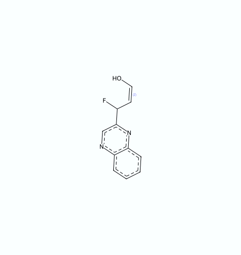 O/C=C\C(F)c1cnc2ccccc2n1